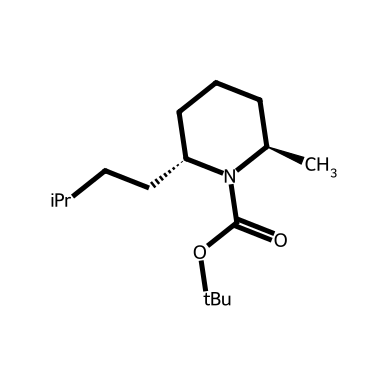 CC(C)CC[C@@H]1CCC[C@@H](C)N1C(=O)OC(C)(C)C